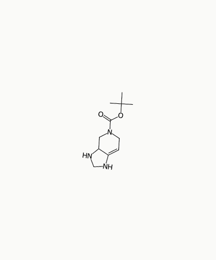 CC(C)(C)OC(=O)N1CC=C2NCNC2C1